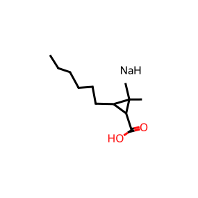 CCCCCCC1C(C(=O)O)C1(C)C.[NaH]